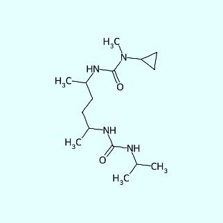 CC(C)NC(=O)NC(C)CCC(C)NC(=O)N(C)C1CC1